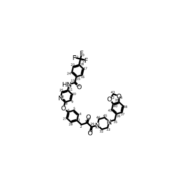 O=C(Cc1ccc(Oc2ccc(NC(=O)c3ccc(C(F)(F)F)cc3)cn2)cc1)C(=O)N1CCN(Cc2ccc3c(c2)OCO3)CC1